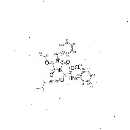 CCCC#COC(C(=O)Nc1cc(C)ccc1Cl)N1C(=O)C(OCC)N(Cc2ccccc2)C1=O